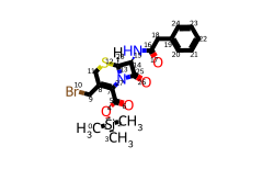 C[Si](C)(C)OC(=O)C1=C(CBr)CS[C@H]2[C@H](NC(=O)Cc3ccccc3)C(=O)N12